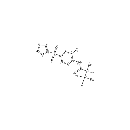 C[C@@](O)(C(=O)Nc1ccc(S(=O)(=O)n2cccc2)cc1Cl)C(F)(F)F